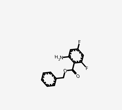 Nc1cc(F)cc(F)c1C(=O)OCc1ccccc1